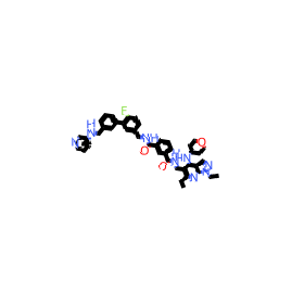 CCc1nc2c(cnn2CC)c(NC2CCOCC2)c1CNC(=O)c1cccc(C(=O)NCc2ccc(F)c(-c3cccc(CNC4CN5CCC4CC5)c3)c2)c1